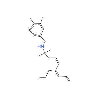 C=C/C=C(\C=C/CC(C)(C)NCc1ccc(C)c(C)c1)CCC